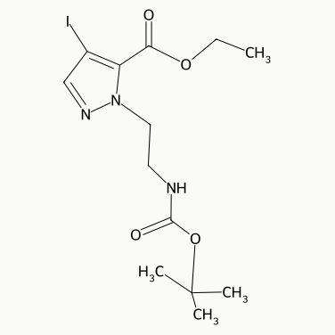 CCOC(=O)c1c(I)cnn1CCNC(=O)OC(C)(C)C